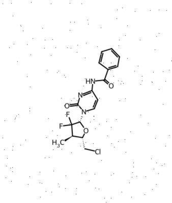 C[C@@H]1[C@@H](CCl)O[C@@H](n2ccc(NC(=O)c3ccccc3)nc2=O)C1(F)F